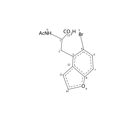 CC(=O)NC(Cc1c(Br)ccc2occc12)C(=O)O